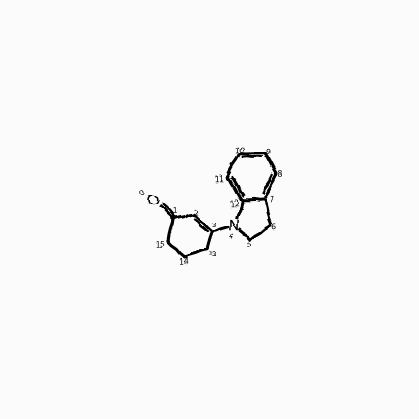 O=C1C=C(N2CCc3ccccc32)CCC1